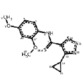 COc1ccc(NC(=S)c2snnc2C2CC2)c(OC)c1